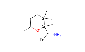 CCC(N)[Si]1(C)OC(C)CC[Si]1(C)C